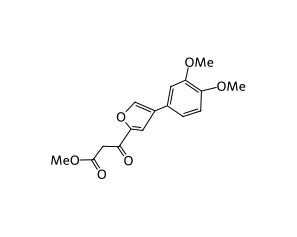 COC(=O)CC(=O)c1cc(-c2ccc(OC)c(OC)c2)co1